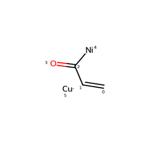 C=C[C](=O)[Ni].[Cu]